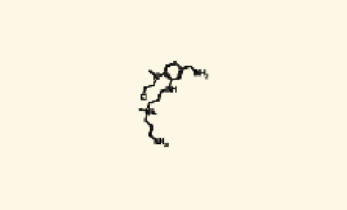 CN(CCCl)c1ccc(CN)cc1NCCC[N+](C)(C)CCCN